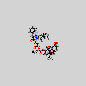 C[C@H](OC(=O)CCNC(=O)[C@H](Cc1ccccc1)NC(=O)OC(C)(C)C)C(=O)OC1=CC[C@]2(O)C3Cc4ccc(O)c5c4[C@@]2(CCN3C)[C@H]1O5